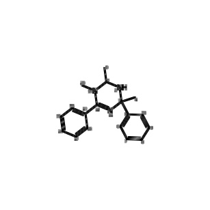 CC1NC(C)(c2ccccc2)N=C(c2ccccc2)N1C